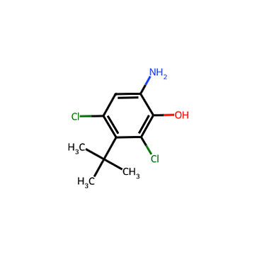 CC(C)(C)c1c(Cl)cc(N)c(O)c1Cl